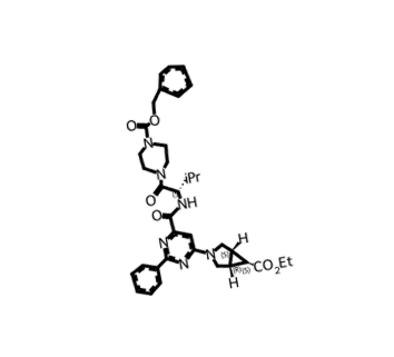 CCOC(=O)[C@@H]1[C@@H]2CN(c3cc(C(=O)N[C@H](C(=O)N4CCN(C(=O)OCc5ccccc5)CC4)C(C)C)nc(-c4ccccc4)n3)C[C@@H]21